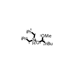 CCCCC(OC)O[SiH](CC(C)C)CC(C)C